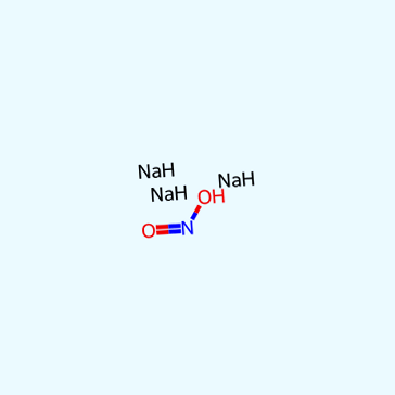 O=NO.[NaH].[NaH].[NaH]